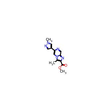 COC(=O)c1nc2cnc(-c3cnn(C)c3)cn2c1C